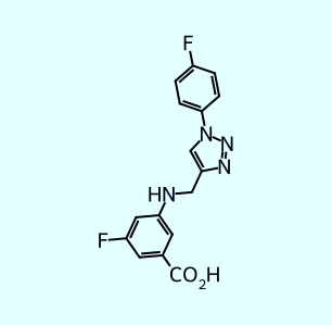 O=C(O)c1cc(F)cc(NCc2cn(-c3ccc(F)cc3)nn2)c1